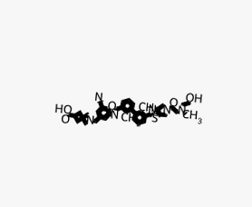 Cc1c(-c2nc3cc(CN4CC5(CC(C(=O)O)C5)C4)cc(C#N)c3o2)cccc1-c1cccc(-c2nc3c(s2)CN(C(=O)CN(C)CCO)C3)c1C